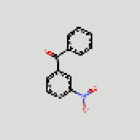 O=C(c1[c]ccc([N+](=O)[O-])c1)c1ccccc1